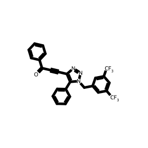 O=C(C#Cc1nnn(Cc2cc(C(F)(F)F)cc(C(F)(F)F)c2)c1-c1ccccc1)c1ccccc1